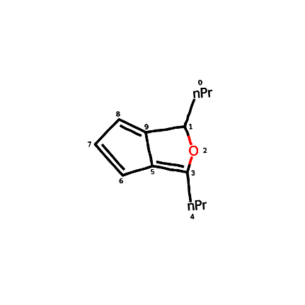 CCC[C]1OC(CCC)=C2C=CC=C12